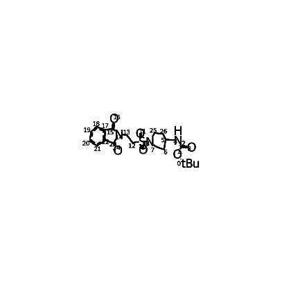 CC(C)(C)OC(=O)NC1CCN(S(=O)(=O)CCN2C(=O)c3ccccc3C2=O)CC1